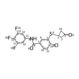 O=C1CC(Sc2cc(C(=O)Nc3cc(F)c(F)c(F)c3)ccc2Cl)C1